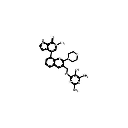 Cn1cc(-c2cccc3cc(CNc4nc(N)nc(N)c4C#N)c(N4CCOCC4)nc23)c2cc[nH]c2c1=O